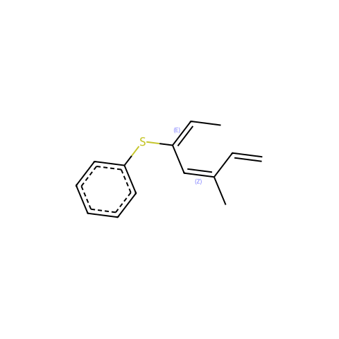 C=C/C(C)=C\C(=C/C)Sc1ccccc1